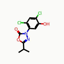 CC(C)c1nn(-c2cc(O)c(Cl)cc2Cl)c(=O)o1